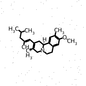 COc1cc2c(cc1C)[C@@H]1CC(/C=C(\C)CC(C)C)=C(C)CN1CC2